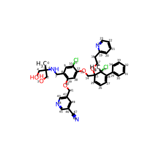 CC(CO)(CO)NCc1cc(Cl)c(OCC2(OCCc3ccccn3)C=CC=C(c3ccccc3)C2(C)Cl)cc1OCc1cncc(C#N)c1